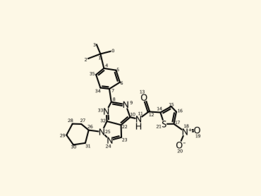 CC(C)(C)c1ccc(-c2nc(NC(=O)c3ccc([N+](=O)[O-])s3)c3cnn(C4CCCCC4)c3n2)cc1